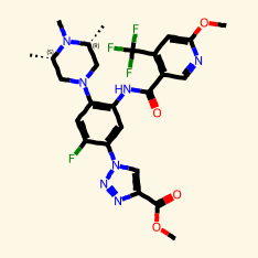 COC(=O)c1cn(-c2cc(NC(=O)c3cnc(OC)cc3C(F)(F)F)c(N3C[C@@H](C)N(C)[C@@H](C)C3)cc2F)nn1